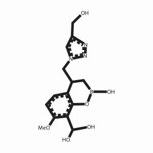 COc1ccc2c(c1C(O)O)OB(O)CC2Cn1cc(CO)nn1